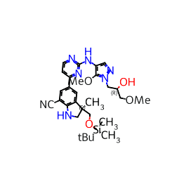 COC[C@H](O)Cn1ncc(Nc2nccc(-c3cc(C#N)c4c(c3)[C@@](C)(CO[Si](C)(C)C(C)(C)C)CN4)n2)c1OC